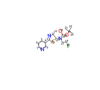 CC1N=C(c2cccnc2)SC1N(CCF)C(=O)OC(C)(C)C